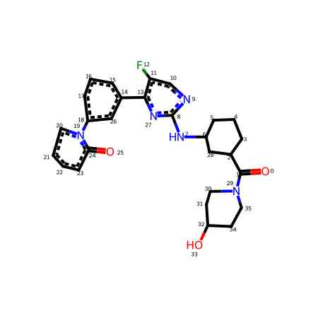 O=C(C1CCCC(Nc2ncc(F)c(-c3cccc(-n4ccccc4=O)c3)n2)C1)N1CCC(O)CC1